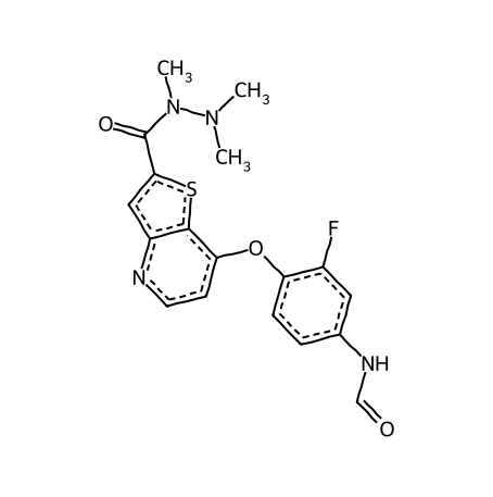 CN(C)N(C)C(=O)c1cc2nccc(Oc3ccc(NC=O)cc3F)c2s1